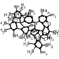 Bc1cc(N(c2cc(B)c3c(c2)C(C)(C)c2c(B)c(B)c(B)c(B)c2-3)c2cc(B)c(B)c3oc4c(B)c(B)c(B)c(B)c4c23)cc(C2(c3c(B)c(B)c(B)c(B)c3B)c3c(B)c(B)c(B)c(B)c3-c3c(B)c(B)c(B)c(B)c32)c1B